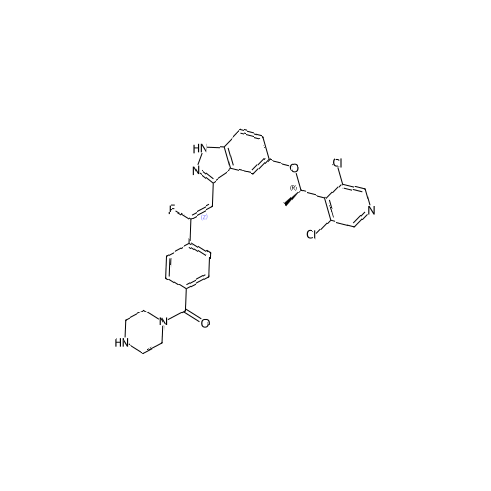 C[C@@H](Oc1ccc2[nH]nc(/C=C(\F)c3ccc(C(=O)N4CCNCC4)cc3)c2c1)c1c(Cl)cncc1Cl